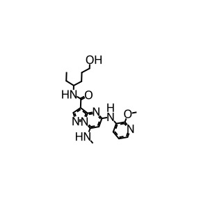 CCC(CCCO)NC(=O)c1cnn2c(NC)cc(Nc3cccnc3OC)nc12